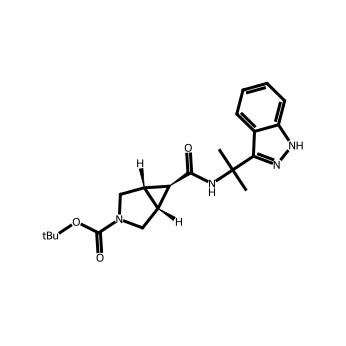 CC(C)(C)OC(=O)N1C[C@@H]2[C@H](C1)[C@H]2C(=O)NC(C)(C)c1n[nH]c2ccccc12